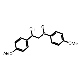 COc1ccc(C(O)C[S+]([O-])c2ccc(OC)cc2)cc1